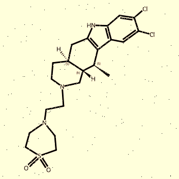 C[C@@H]1c2c([nH]c3cc(Cl)c(Cl)cc23)C[C@@H]2CCN(CCN3CCS(=O)(=O)CC3)C[C@H]21